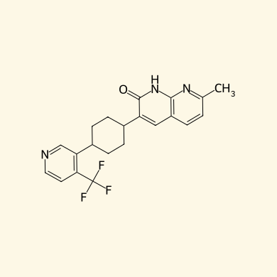 Cc1ccc2cc(C3CCC(c4cnccc4C(F)(F)F)CC3)c(=O)[nH]c2n1